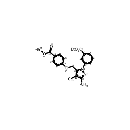 CCOC(=O)c1cccc(-n2nc(C)c(Cl)c2COc2ccc(C(=O)OC(C)(C)C)cc2)c1